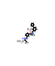 Cc1c(-c2ccccc2)cccc1-c1nnc(-c2cccc(CN[C@@H](CC(C)C)C(=O)O)c2)o1.Cl